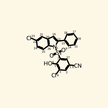 N#Cc1cc(Cl)c(O)c(S(=O)(=O)n2c(-c3ccccc3)cc3cc(Cl)ccc32)c1